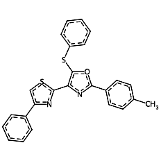 Cc1ccc(-c2nc(-c3nc(-c4ccccc4)cs3)c(Sc3ccccc3)o2)cc1